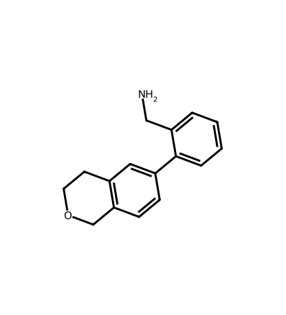 NCc1ccccc1-c1ccc2c(c1)CCOC2